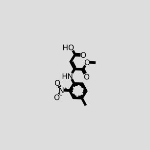 COC(=O)C(=CC(=O)O)Nc1ccc(C)cc1[N+](=O)[O-]